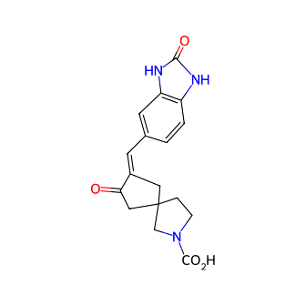 O=C1CC2(CCN(C(=O)O)C2)CC1=Cc1ccc2[nH]c(=O)[nH]c2c1